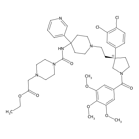 CCOC(=O)CN1CCN(C(=O)NC2(c3cccnc3)CCN(CC[C@@]3(c4ccc(Cl)c(Cl)c4)CCN(C(=O)c4cc(OC)c(OC)c(OC)c4)C3)CC2)CC1